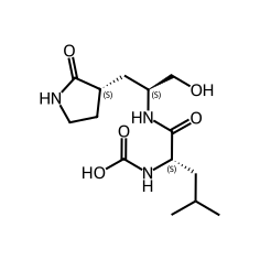 CC(C)C[C@H](NC(=O)O)C(=O)N[C@H](CO)C[C@@H]1CCNC1=O